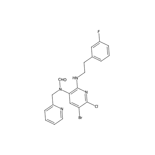 O=CN(Cc1ccccn1)c1cc(Br)c(Cl)nc1NCCc1cccc(F)c1